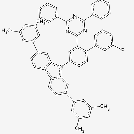 Cc1cc(C)cc(-c2ccc3c4ccc(-c5cc(C)cc(C)c5)cc4n(-c4ccc(-c5cccc(F)c5)c(-c5nc(-c6ccccc6)nc(-c6ccccc6)n5)c4)c3c2)c1